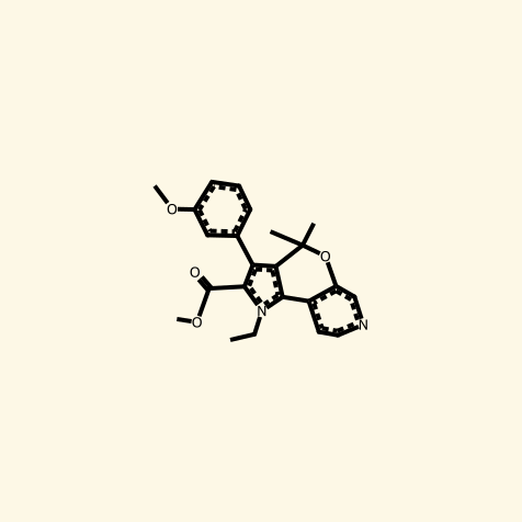 CCn1c(C(=O)OC)c(-c2cccc(OC)c2)c2c1-c1ccncc1OC2(C)C